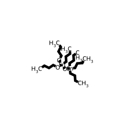 CCCC[O][Sn]([CH2]CCC)([O]CCCC)[O][Sn]([CH2]CCC)([CH2]CCC)[CH2]CCC